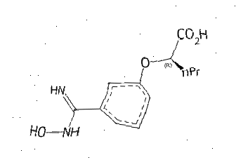 CCC[C@@H](Oc1cccc(C(=N)NO)c1)C(=O)O